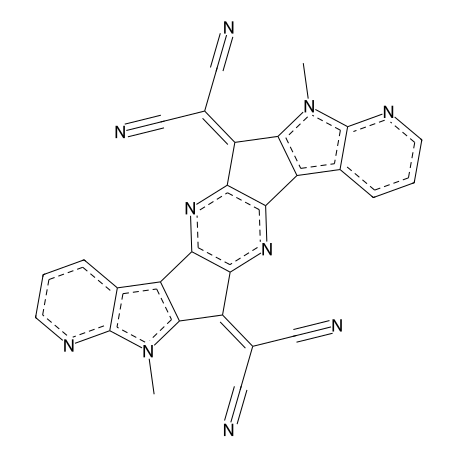 Cn1c2c(c3cccnc31)-c1nc3c(nc1C2=C(C#N)C#N)-c1c(n(C)c2ncccc12)C3=C(C#N)C#N